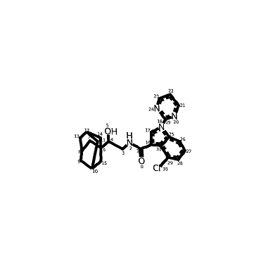 O=C(NCC(O)C12CC3CC(CC(C3)C1)C2)c1cn(-c2ncccn2)c2cccc(Cl)c12